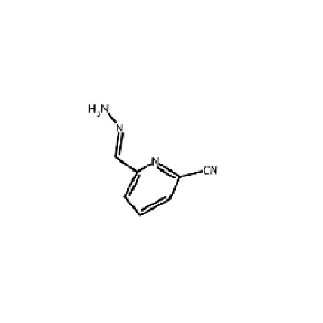 N#Cc1cccc(C=NN)n1